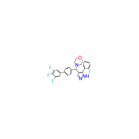 Fc1ccccc1-c1[nH]ncc1C(c1ccc(-c2cc(F)c(F)c(F)c2)cc1)N1CCOCC1